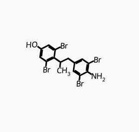 CC(Cc1cc(Br)c(N)c(Br)c1)c1c(Br)cc(O)cc1Br